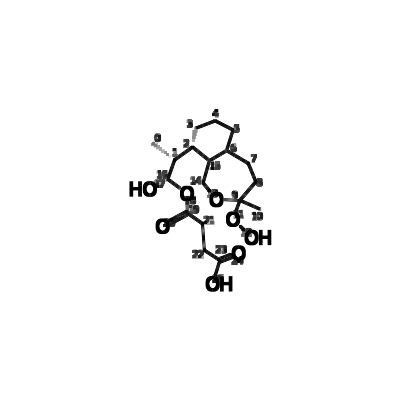 C[C@H]([C@@H]1CCCC2CCC(C)(OO)OCC21)[C@@H](O)OC(=O)CCC(=O)O